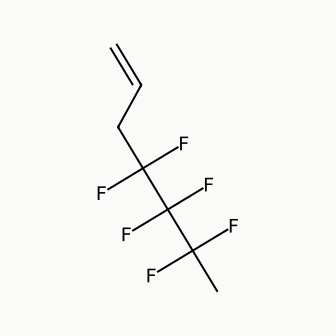 C=CCC(F)(F)C(F)(F)C(C)(F)F